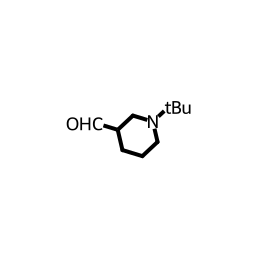 CC(C)(C)N1CCCC(C=O)C1